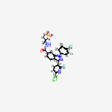 CC1(NC(=O)c2ccc3c(-c4ccc(Cl)nc4F)nn(-c4ccc(F)cc4)c3c2)CCS(=O)(=O)C1